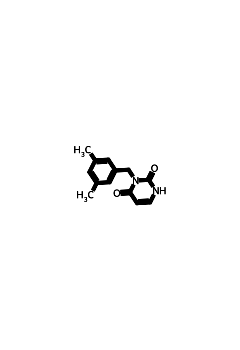 Cc1cc(C)cc(Cn2c(=O)cc[nH]c2=O)c1